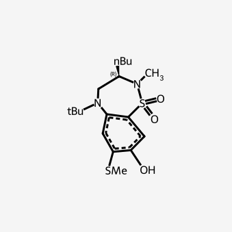 CCCC[C@@H]1CN(C(C)(C)C)c2cc(SC)c(O)cc2S(=O)(=O)N1C